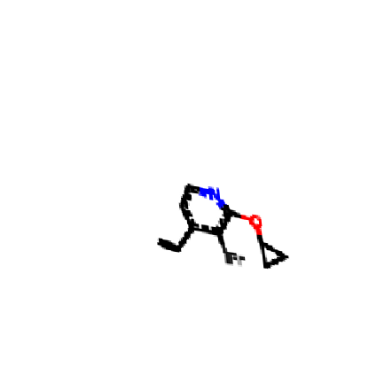 C=Cc1ccnc(OC2CC2)c1C(C)C